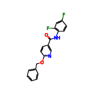 O=C(Nc1ccc(F)cc1F)c1ccc(OCc2ccccc2)nc1